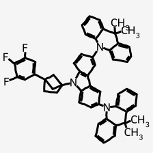 CC1(C)c2ccccc2N(c2ccc3c(c2)c2cc(N4c5ccccc5C(C)(C)c5ccccc54)ccc2n3C23CCC(c4cc(F)c(F)c(F)c4)(C2)C3)c2ccccc21